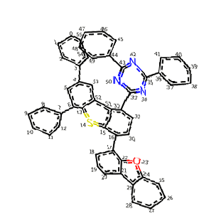 c1ccc(-c2cc(-c3ccccc3)c3sc4c(-c5cccc6c5oc5ccccc56)ccc(-c5nc(-c6ccccc6)nc(-c6ccccc6)n5)c4c3c2)cc1